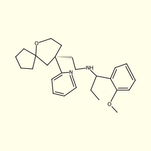 CCC(NCC[C@@]1(c2ccccn2)CCOC2(CCCC2)C1)c1ccccc1OC